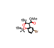 COC(=O)C(C(=O)C(C)(C)C)c1cc(Br)ccc1O[Si](C)(C)C(C)(C)C